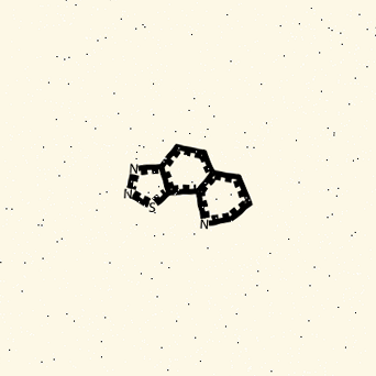 c1cnc2c(c1)ccc1nnsc12